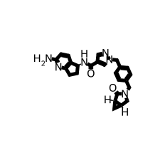 Nc1ccc2c(n1)CC[C@H]2NC(=O)c1cnn(Cc2ccc(CN3C[C@H]4C[C@H]4C3=O)cc2)c1